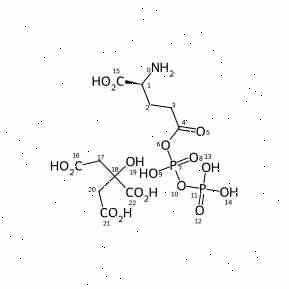 N[C@@H](CCC(=O)OP(=O)(O)OP(=O)(O)O)C(=O)O.O=C(O)CC(O)(CC(=O)O)C(=O)O